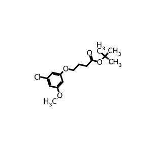 COc1cc(Cl)cc(OCCCC(=O)OC(C)(C)C)c1